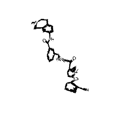 CN1CCc2ccc(NC(=O)c3cccc(CNC(=O)c4ccc(Oc5ccccc5C#N)nc4)c3)cc2C1